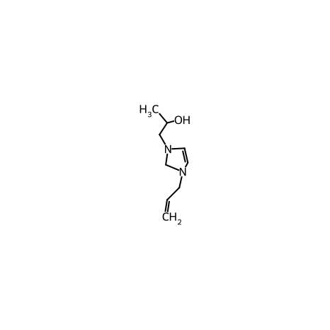 C=CCN1C=CN(CC(C)O)C1